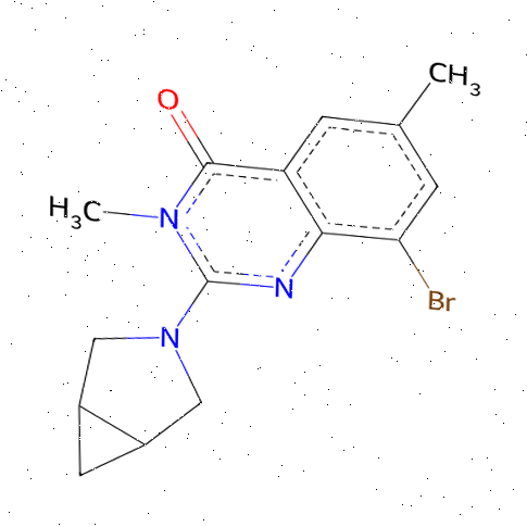 Cc1cc(Br)c2nc(N3CC4CC4C3)n(C)c(=O)c2c1